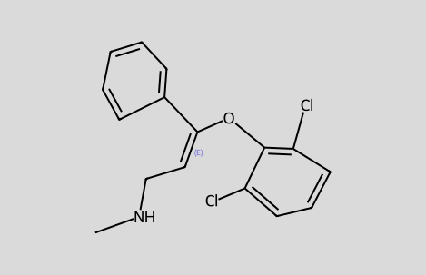 CNC/C=C(/Oc1c(Cl)cccc1Cl)c1ccccc1